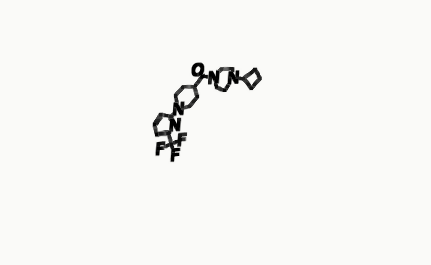 O=C(C1CCN(c2cccc(C(F)(F)F)n2)CC1)N1CCN(C2CCC2)CC1